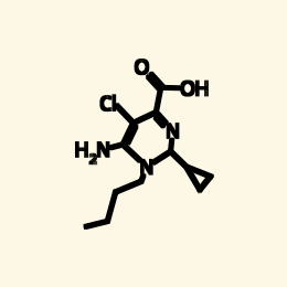 CCCCN1C(N)=C(Cl)C(C(=O)O)=NC1C1CC1